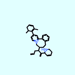 C=CCC(C(=C)C1C=CCCN1)C1CCc2ccccc2-c2cc(C3=C(C)C=CCC3C)cc[n+]2C1